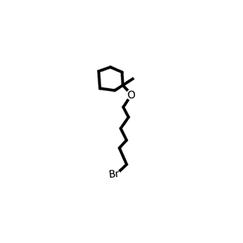 CC1(OCCCCCCBr)CCCCC1